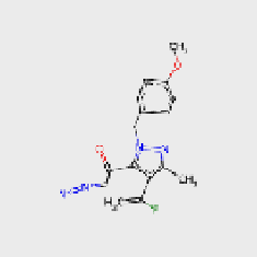 C=C(F)c1c(C)nn(Cc2ccc(OC)cc2)c1C(=O)C=[N+]=[N-]